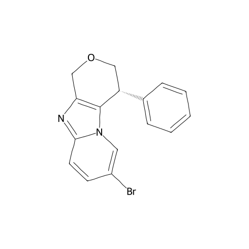 Brc1ccc2nc3c(n2c1)[C@@H](c1ccccc1)COC3